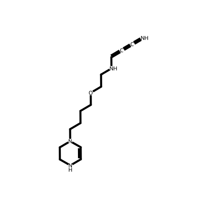 N=C=C=CNCCOCCCCN1C=CNCC1